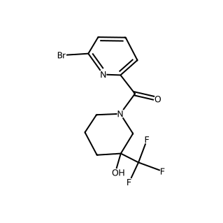 O=C(c1cccc(Br)n1)N1CCCC(O)(C(F)(F)F)C1